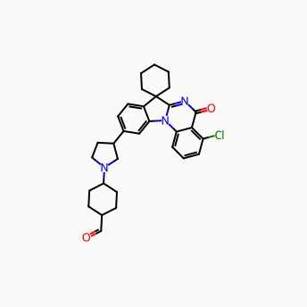 O=CC1CCC(N2CCC(c3ccc4c(c3)-n3c(nc(=O)c5c(Cl)cccc53)C43CCCCC3)C2)CC1